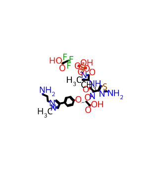 C[n+]1cc(-c2ccc(OC[C@H](O/N=C(\C(=O)N[C@@H]3C(=O)N(OS(=O)(=O)O)C3(C)C)c3csc(N)n3)C(=O)O)cc2)cn1CCCN.O=C(O)C(F)(F)F